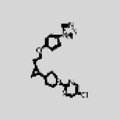 Clc1cnc(N2CCC(C3CC3CCOc3ccc(-n4cnnn4)cc3)CC2)nc1